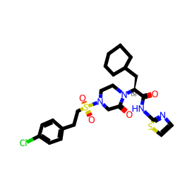 O=C(Nc1nccs1)[C@H](CC1CCCCC1)N1CCN(S(=O)(=O)CCc2ccc(Cl)cc2)CC1=O